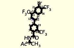 CC(=O)[C@@H](C)NC(=O)c1ccc(/C(F)=C/C(c2ccc(C(F)(F)F)c(Br)c2)C(F)(F)F)cc1C(F)(F)F